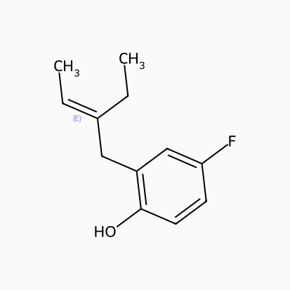 C/C=C(\CC)Cc1cc(F)ccc1O